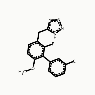 COc1ccc(Cc2nnn[nH]2)c(F)c1-c1cccc(Cl)c1